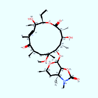 CC[C@H]1OC(=O)[C@H](C)[C@@H](O)[C@H](C)[C@@H](OC2O[C@H](C)C[C@H]3C2OC(=O)N3C)[C@](C)(OC)C[C@@H](C)C(=O)/C(C)=C/[C@]1(C)O